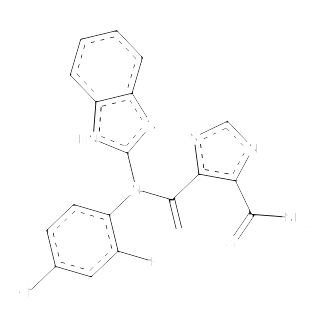 NC(=O)c1[nH]cnc1C(=O)N(c1nc2ccccc2[nH]1)c1ccc(Cl)cc1F